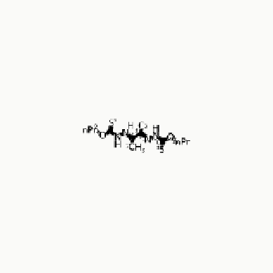 CCCOC(=S)N/N=C(C)/C(C)=N/NC(=S)OCCC